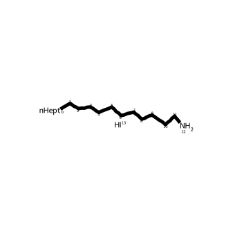 CCCCCCCCCCCCCCCCCCN.I